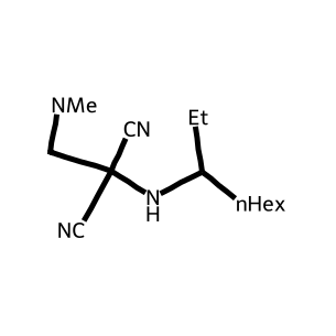 CCCCCCC(CC)NC(C#N)(C#N)CNC